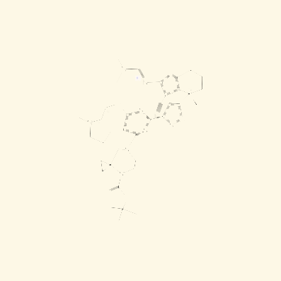 C[C@H](Oc1cc(N2CCN(C(=O)OC(C)(C)C)C3(CC3)C2)nc(-c2cc([C@@]3(C)CCCc4sc(/N=C/N(C)C)c(C#N)c43)sn2)n1)[C@@H]1CCCN1C